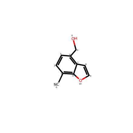 N#Cc1ccc(CO)c2ccoc12